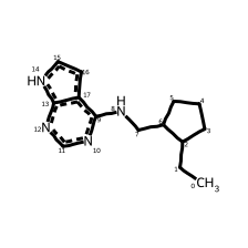 CCC1CCCC1CNc1ncnc2[nH]ccc12